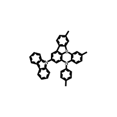 Cc1ccc(N2c3ccc(C)cc3B3c4cc(C)ccc4-c4cc(-n5c6ccccc6c6ccccc65)cc2c43)cc1